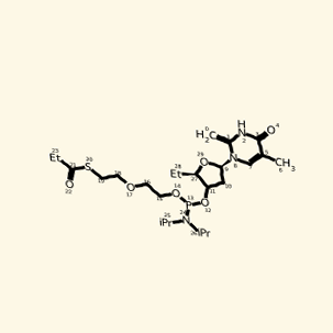 C=C1NC(=O)C(C)=CN1[C@H]1CC(OP(OCCOCCSC(=O)CC)N(C(C)C)C(C)C)[C@@H](CC)O1